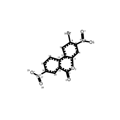 O=c1oc2cc([N+](=O)[O-])c(Br)cc2c2ccc([N+](=O)[O-])cc12